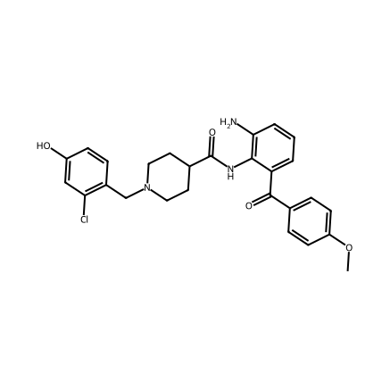 COc1ccc(C(=O)c2cccc(N)c2NC(=O)C2CCN(Cc3ccc(O)cc3Cl)CC2)cc1